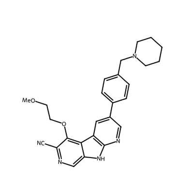 COCCOc1c(C#N)ncc2[nH]c3ncc(-c4ccc(CN5CCCCC5)cc4)cc3c12